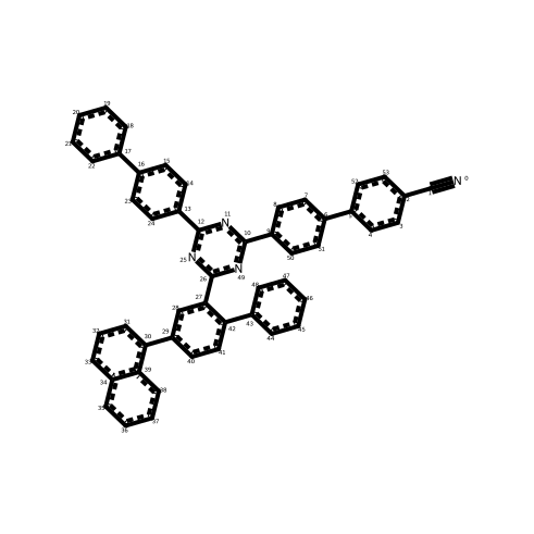 N#Cc1ccc(-c2ccc(-c3nc(-c4ccc(-c5ccccc5)cc4)nc(-c4cc(-c5cccc6ccccc56)ccc4-c4ccccc4)n3)cc2)cc1